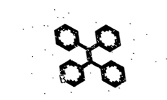 b1ccc(C(=C(c2ccccc2)c2ccccc2)c2ccccc2)cc1